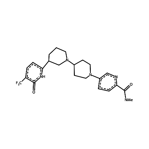 CNC(=O)c1ccc(N2CCC(N3CCCC(c4ccc(C(F)(F)F)c(=O)[nH]4)C3)CC2)cn1